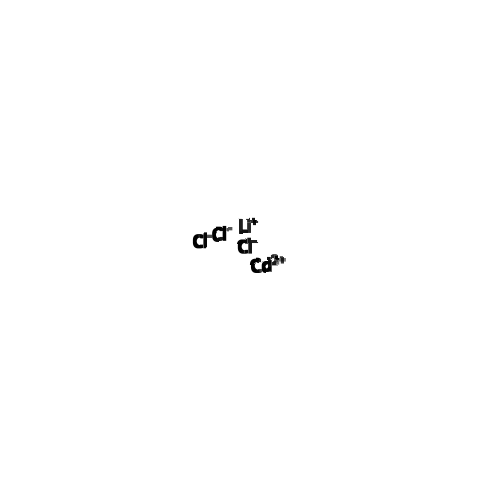 [Cd+2].[Cl-].[Cl-].[Cl-].[Li+]